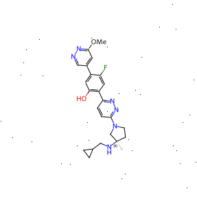 COc1cc(-c2cc(O)c(-c3ccc(N4CC[C@@](C)(NCC5CC5)C4)nn3)cc2F)cnn1